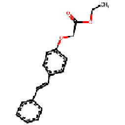 CCOC(=O)COc1ccc(C=Cc2ccccc2)cc1